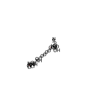 Cc1ncsc1-c1ccc(CNC(=O)[C@@H]2C[C@@H](O)CN2C(=O)[C@H](NC(=O)CCOCCOCCOCCOCCOCCC(=O)NCCCOC(=O)NC(Nc2ncccn2)C(Cl)(Cl)Cl)C(C)(C)C)cc1